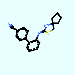 N#Cc1ccc(-c2ccccc2N=C2NC3(CCCC3)CS2)cc1